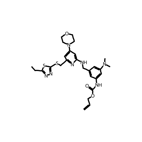 C=CCOC(=O)Nc1cc(CNc2cc(N3CCOCC3)cc(CSc3nnc(CC)s3)n2)cc(N(C)C)c1